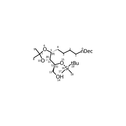 CCCCCCCCCCCCCC[C@H]1OC(C)(C)O[C@H]1[C@H](CO)O[Si](C)(C)C(C)(C)C